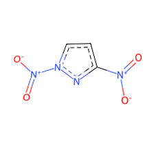 O=[N+]([O-])c1ccn([N+](=O)[O-])n1